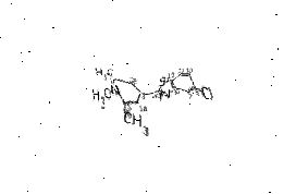 C[C@@H]1CC(c2nc3cc(Cl)ccc3s2)C[C@H](C)N1C